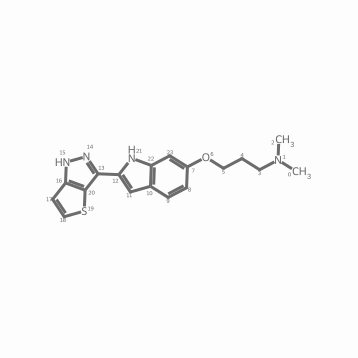 CN(C)CCCOc1ccc2cc(-c3n[nH]c4ccsc34)[nH]c2c1